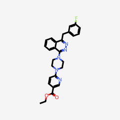 CCOC(=O)c1ccc(N2CCN(c3nnc(Cc4cccc(F)c4)c4ccccc34)CC2)nc1